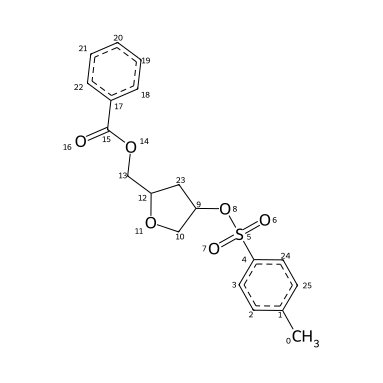 Cc1ccc(S(=O)(=O)OC2COC(COC(=O)c3ccccc3)C2)cc1